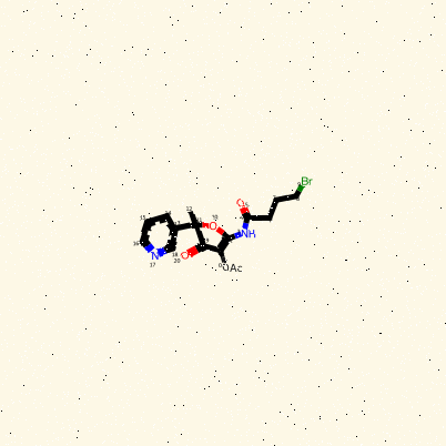 CC(=O)OC1=C(NC(=O)CCCBr)OC(C)(c2cccnc2)C1=O